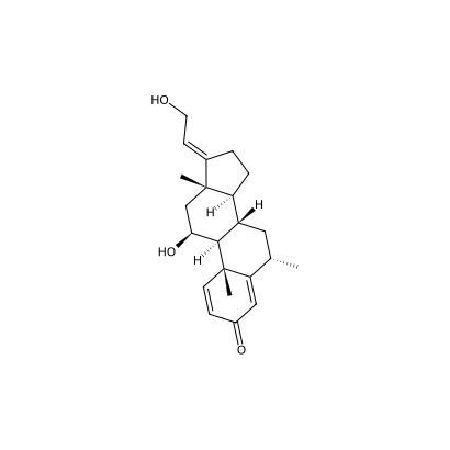 C[C@H]1C[C@@H]2[C@H]([C@@H](O)C[C@]3(C)/C(=C/CO)CC[C@@H]23)[C@@]2(C)C=CC(=O)C=C12